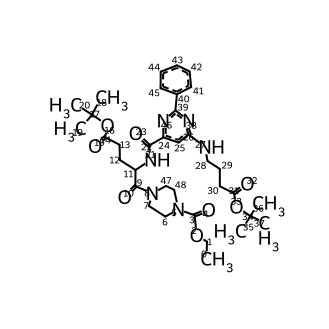 CCOC(=O)N1CCN(C(=O)C(CCC(=O)OC(C)(C)C)NC(=O)c2cc(NCCCC(=O)OC(C)(C)C)nc(-c3ccccc3)n2)CC1